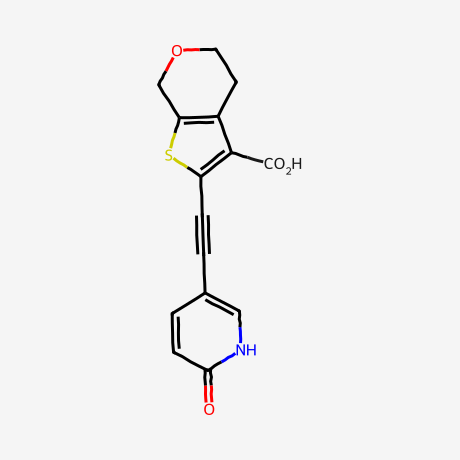 O=C(O)c1c(C#Cc2ccc(=O)[nH]c2)sc2c1CCOC2